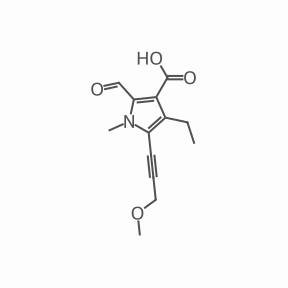 CCc1c(C(=O)O)c(C=O)n(C)c1C#CCOC